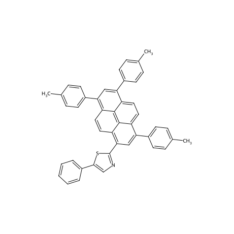 Cc1ccc(-c2cc(-c3ccc(C)cc3)c3ccc4c(-c5ncc(-c6ccccc6)s5)cc(-c5ccc(C)cc5)c5ccc2c3c54)cc1